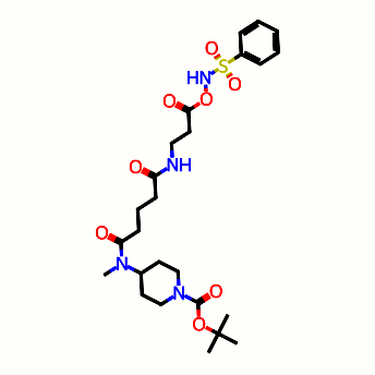 CN(C(=O)CCCC(=O)NCCC(=O)ONS(=O)(=O)c1ccccc1)C1CCN(C(=O)OC(C)(C)C)CC1